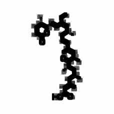 CCC(=C/[C@H](C)C/C=C/C(C)=C/[C@@H](C)C(=O)[C@@H](C)C[C@@H](C)C/C(C)=C/C(=O)O)/C=C/[C@@H]1OC(=O)C=C[C@@H]1C